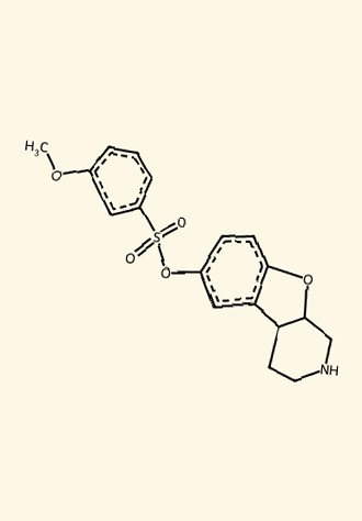 COc1cccc(S(=O)(=O)Oc2ccc3c(c2)C2CCNCC2O3)c1